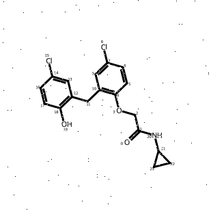 O=C(COc1ccc(Cl)cc1Cc1cc(Cl)ccc1O)NC1CC1